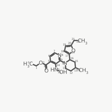 CCOC(=O)c1ccnc(N2CCC(C)CC2c2ccc(CC)o2)c1NO